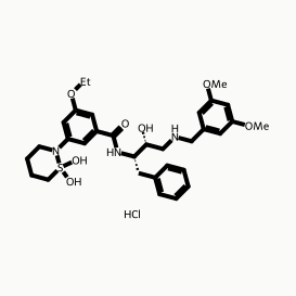 CCOc1cc(C(=O)N[C@@H](Cc2ccccc2)[C@H](O)CNCc2cc(OC)cc(OC)c2)cc(N2CCCCS2(O)O)c1.Cl